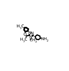 Cc1cccc(O[C@H](C)c2nnc([C@H]3CC[C@H](N)CC3)n2C)c1